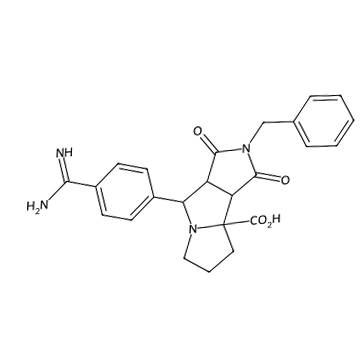 N=C(N)c1ccc(C2C3C(=O)N(Cc4ccccc4)C(=O)C3C3(C(=O)O)CCCN23)cc1